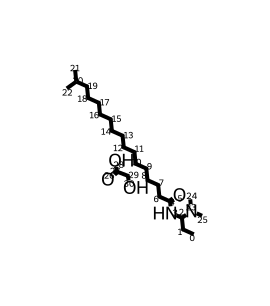 CCC(NC(=O)CCCCCCCCCCCCCCC(C)C)N(C)C.O=C(O)CO